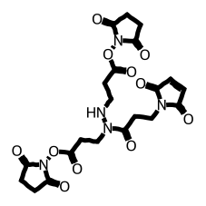 O=C(CCNN(CCC(=O)ON1C(=O)CCC1=O)C(=O)CCN1C(=O)C=CC1=O)ON1C(=O)CCC1=O